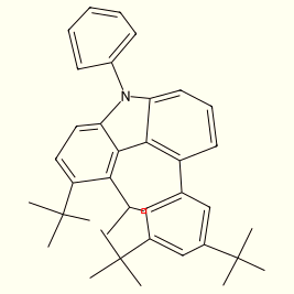 CC(C)c1c(C(C)(C)C)ccc2c1c1c(-c3cc(C(C)(C)C)cc(C(C)(C)C)c3)cccc1n2-c1ccccc1